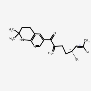 C=C(CC[C@H](/C=C(/C)C(C)=O)CC)C(=O)c1cnc2c(c1)CCC(C)(C)N2